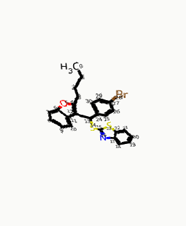 CCCCc1oc2ccccc2c1C(Sc1nc2ccccc2s1)c1ccc(Br)cc1